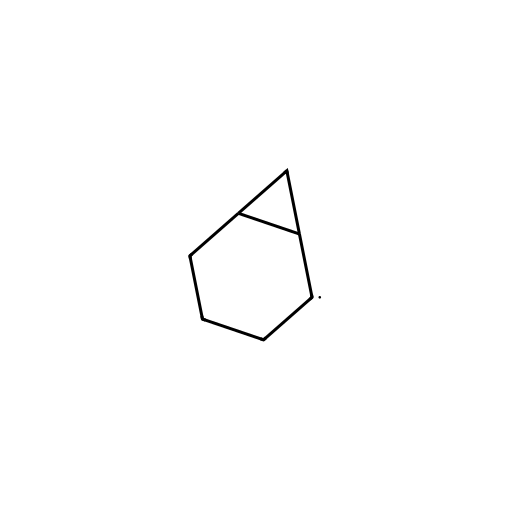 [CH]1CCCC2CC12